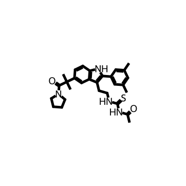 CC(=O)NC(=S)NCCc1c(-c2cc(C)cc(C)c2)[nH]c2ccc(C(C)(C)C(=O)N3CCCC3)cc12